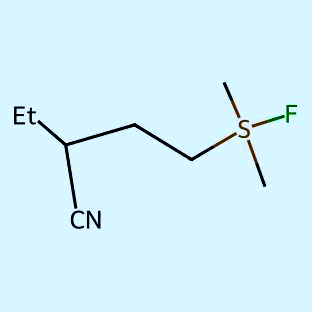 CCC(C#N)CCS(C)(C)F